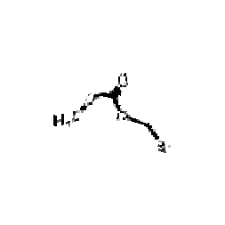 COC(=O)OCBr